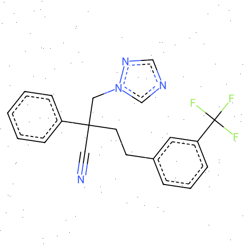 N#CC(CCc1cccc(C(F)(F)F)c1)(Cn1cncn1)c1ccccc1